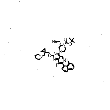 CC(C)(C)OC(=O)N1CCN(c2nc(OCC3(CN4CCCC4)CC3)nc3c(F)c(-c4cccc5cccc(Cl)c45)ncc23)C[C@@H]1CC#N